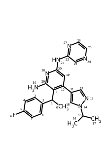 CC(c1ccc(F)cc1)c1c(-c2cnn(C(C)C)c2)cc(Nc2cnccn2)nc1N